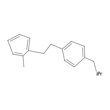 Cc1ccccc1CCc1ccc(CC(C)C)cc1